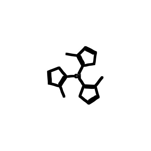 CC1=[C]([Gd]([C]2=C(C)C=CC2)[C]2=C(C)C=CC2)CC=C1